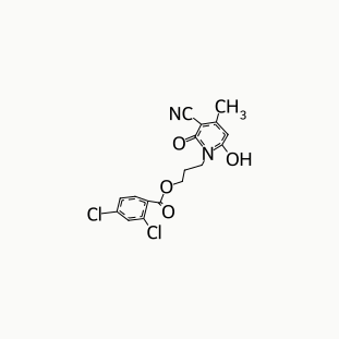 Cc1cc(O)n(CCCOC(=O)c2ccc(Cl)cc2Cl)c(=O)c1C#N